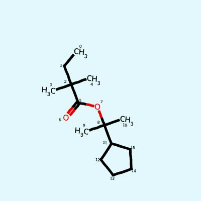 CCC(C)(C)C(=O)OC(C)(C)C1CCCC1